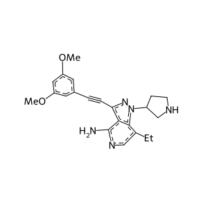 CCc1cnc(N)c2c(C#Cc3cc(OC)cc(OC)c3)nn(C3CCNC3)c12